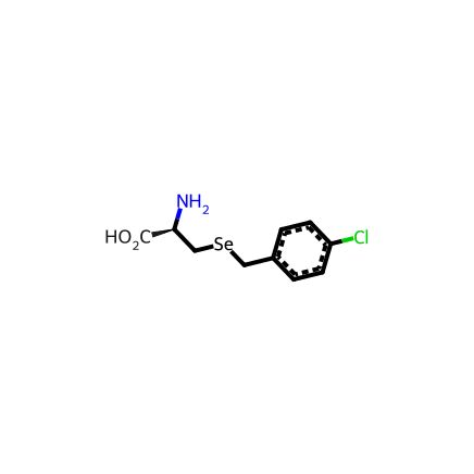 N[C@@H](C[Se]Cc1ccc(Cl)cc1)C(=O)O